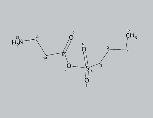 CCCCS(=O)(=O)OC(=O)CCN